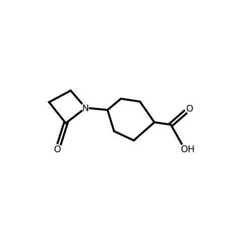 O=C(O)C1CCC(N2CCC2=O)CC1